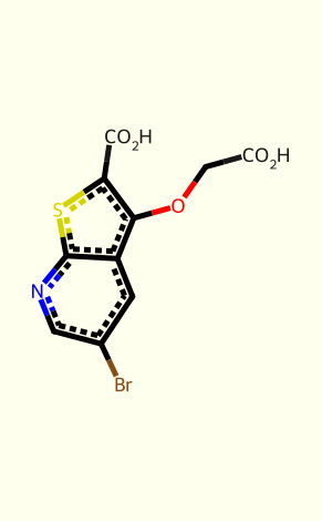 O=C(O)COc1c(C(=O)O)sc2ncc(Br)cc12